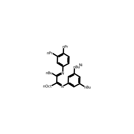 CCCCCCCCC(=Nc1cc(CCCC)cc(CCCC)c1)C(CCCC)=Nc1ccc(CCC)c(CCC)c1.[Ni]